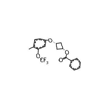 Cc1ccc(O[C@H]2C[C@@H](OC(=O)c3ccccc3)C2)cc1OC(F)(F)F